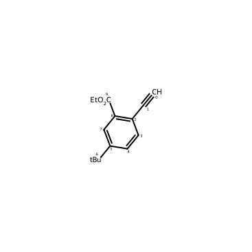 C#Cc1ccc(C(C)(C)C)cc1C(=O)OCC